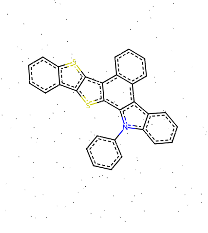 c1ccc(-n2c3ccccc3c3c4ccccc4c4c5sc6ccccc6c5sc4c32)cc1